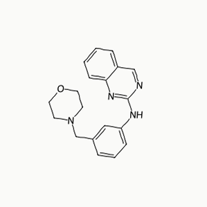 c1cc(CN2CCOCC2)cc(Nc2ncc3ccccc3n2)c1